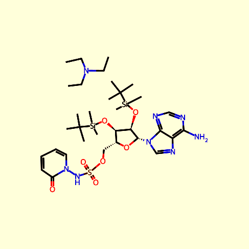 CC(C)(C)[Si](C)(C)O[C@@H]1[C@H](O[Si](C)(C)C(C)(C)C)[C@@H](COS(=O)(=O)Nn2ccccc2=O)O[C@H]1n1cnc2c(N)ncnc21.CCN(CC)CC